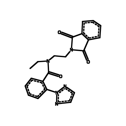 CCN(CCN1C(=O)c2ccccc2C1=O)C(=O)c1ccccc1-n1nccn1